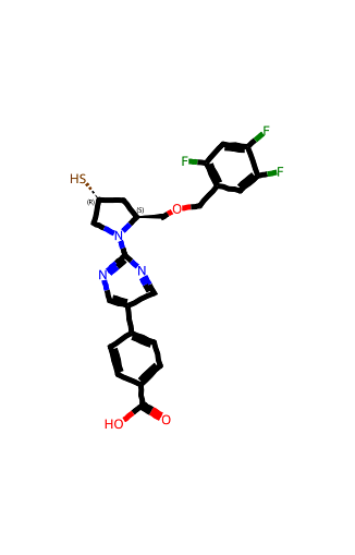 O=C(O)c1ccc(-c2cnc(N3C[C@H](S)C[C@H]3COCc3cc(F)c(F)cc3F)nc2)cc1